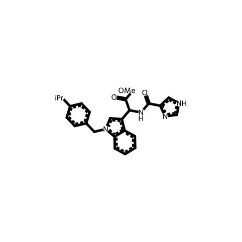 COC(=O)C(NC(=O)c1c[nH]cn1)c1cn(Cc2ccc(C(C)C)cc2)c2ccccc12